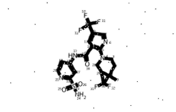 CC12CCN(c3ncc(C(F)(F)F)cc3C(=O)Nc3ccnc(S(N)(=O)=O)c3)CC1C2(F)F